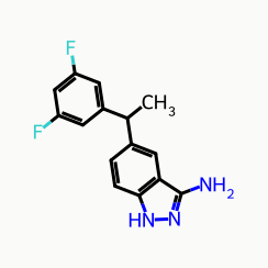 CC(c1cc(F)cc(F)c1)c1ccc2[nH]nc(N)c2c1